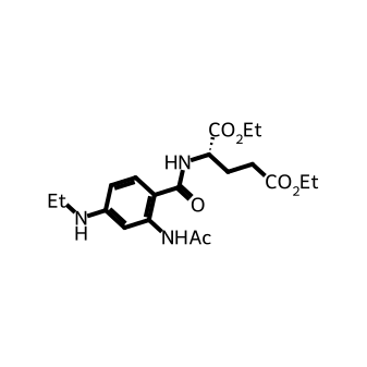 CCNc1ccc(C(=O)N[C@@H](CCC(=O)OCC)C(=O)OCC)c(NC(C)=O)c1